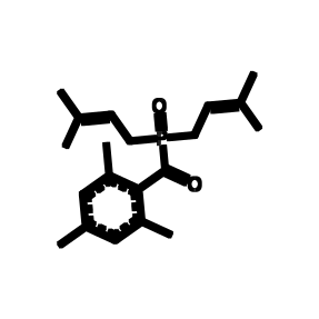 CC(C)=CCP(=O)(CC=C(C)C)C(=O)c1c(C)cc(C)cc1C